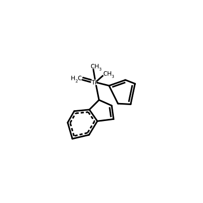 [CH2]=[Ti]([CH3])([CH3])([C]1=CC=CC1)[CH]1C=Cc2ccccc21